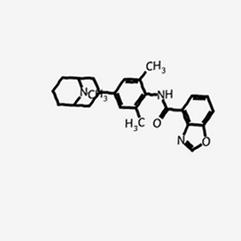 Cc1cc(C2CC3CCCC(C2)N3C)cc(C)c1NC(=O)c1cccc2ocnc12